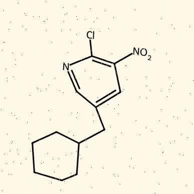 O=[N+]([O-])c1cc(CC2CCCCC2)cnc1Cl